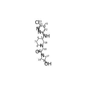 Cc1cc(N[C@@H]2CCCN(CC(=O)N3CC(O)C3)C2)nnc1Cl